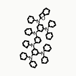 c1ccc(N(c2ccccc2)c2cc(N(c3ccccc3)c3ccccc3)cc(N(c3ccccc3)c3cccc(N(c4ccccc4)c4cc(N(c5ccccc5)c5ccccc5)cc(N(c5ccccc5)c5cc6ccccc6o5)c4)c3)c2)cc1